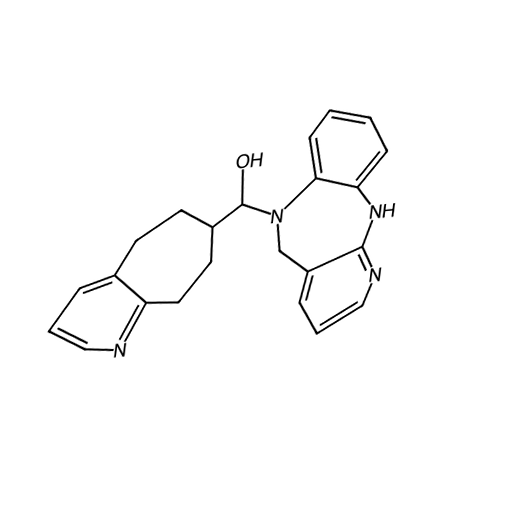 OC(C1CCc2cccnc2CC1)N1Cc2cccnc2Nc2ccccc21